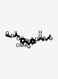 COC(OC)(C(=O)c1ccc(OCC(O)COCC2CO2)cc1)c1ccc(OCC(C)COCC2CO2)cc1